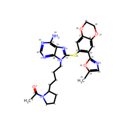 CC(=O)N1CCCC1CCCCn1c(Sc2cc3c(cc2-c2ncc(C)o2)OCCO3)nc2c(N)ncnc21